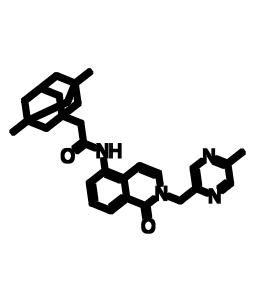 Cc1cnc(Cn2ccc3c(NC(=O)CC45CC6CC(C)(CC(C)(C6)C4)C5)cccc3c2=O)cn1